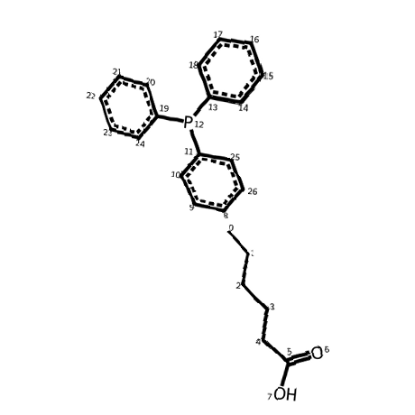 CCCCCC(=O)O.c1ccc(P(c2ccccc2)c2ccccc2)cc1